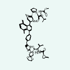 COC(=O)N[C@H](C(=O)N1CC2(C[C@H]1c1ncc(-c3ccc(-c4ccc(-c5cnc([C@@H]6CCCN6C(=O)[C@@H](NC(=O)OC)C(C)C)[nH]5)c5c(C)ccc(C)c45)cc3)[nH]1)OCCO2)C(C)C